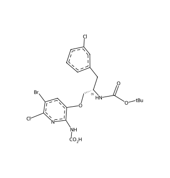 CC(C)(C)OC(=O)N[C@H](COc1cc(Br)c(Cl)nc1NC(=O)O)Cc1cccc(Cl)c1